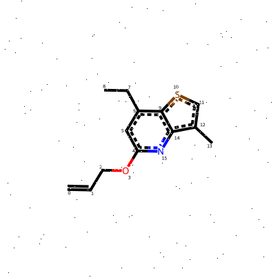 C=CCOc1cc(CC)c2scc(C)c2n1